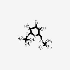 CC(C)(C)OCC1OC(OC(C)(C)C)C(O)C(O)C1O